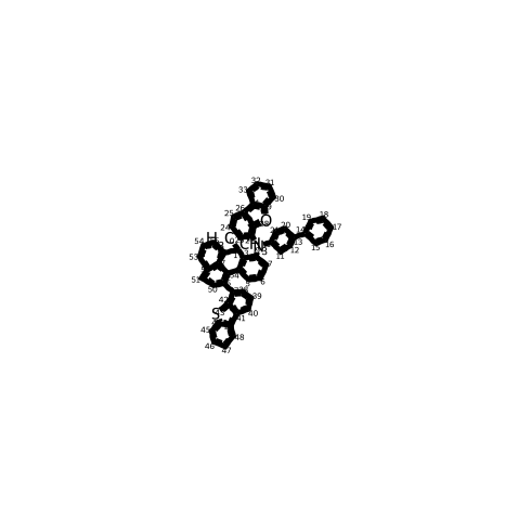 CC1(C)c2c(cccc2N(c2ccc(-c3ccccc3)cc2)c2cccc3c2oc2ccccc23)-c2c(-c3cccc4c3sc3ccccc34)ccc3cccc1c23